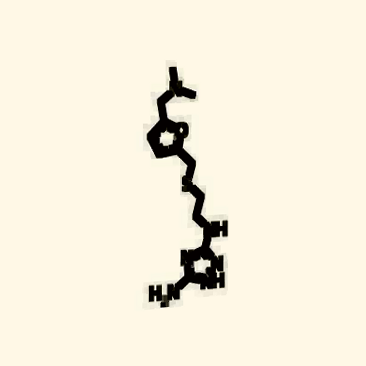 CN(C)Cc1ccc(CSCCNc2n[nH]c(N)n2)o1